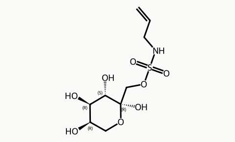 C=CCNS(=O)(=O)OC[C@@]1(O)OC[C@@H](O)[C@@H](O)[C@@H]1O